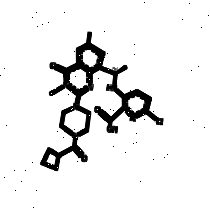 Cc1cc([C@@H](C)Nc2ccc(Cl)nc2C(=O)O)c2nc(N3CCN(C(=O)C4CCC4)CC3)n(C)c(=O)c2c1